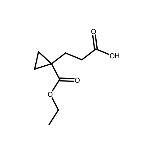 CCOC(=O)C1(CCC(=O)O)CC1